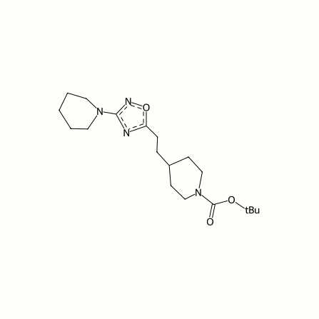 CC(C)(C)OC(=O)N1CCC(CCc2nc(N3CCCCC3)no2)CC1